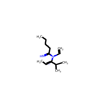 C=CN(C(=N)CCCC)/C(=C\C)C(C)C